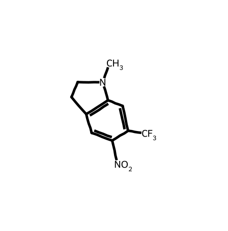 CN1CCc2cc([N+](=O)[O-])c(C(F)(F)F)cc21